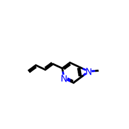 C=C/C=C/c1cc2c(cn1)N2C